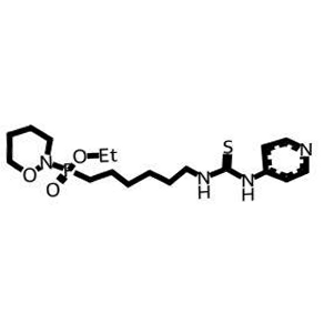 CCOP(=O)(CCCCCCNC(=S)Nc1ccncc1)N1CCCCO1